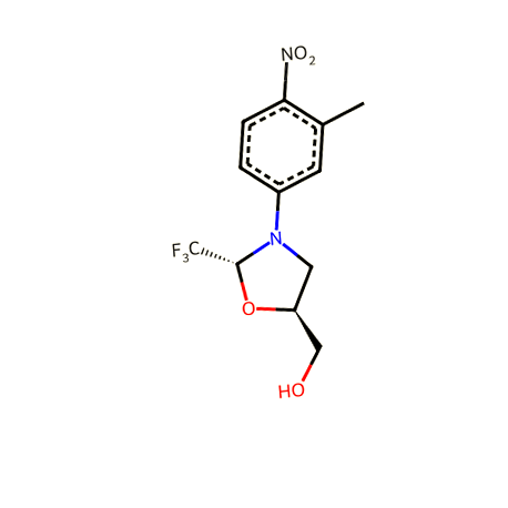 Cc1cc(N2C[C@@H](CO)O[C@@H]2C(F)(F)F)ccc1[N+](=O)[O-]